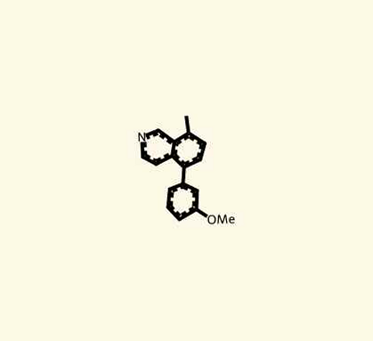 COc1cccc(-c2ccc(C)c3cnccc23)c1